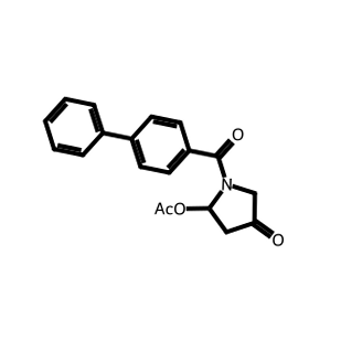 CC(=O)OC1CC(=O)CN1C(=O)c1ccc(-c2ccccc2)cc1